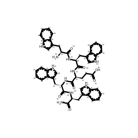 NC(=O)[C@H](Cc1c[nH]c2ccccc12)NC(=O)[C@H](Cc1c[nH]c2ccccc12)NC(=O)[C@H](CCC(=O)O)NC(=O)[C@H](Cc1c[nH]c2ccccc12)NC(=O)[C@@H](N)Cc1c[nH]c2ccccc12